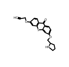 C#CCOc1ccc2c(=O)c3ccc(OCC4CCCN4)cc3sc2c1